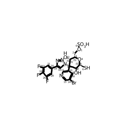 O=S(=O)(O)OC[C@@H]1O[C@@H](S)[C@@H](O)[C@](c2cncc(Br)c2)(n2cc(-c3cc(F)c(F)c(F)c3)nn2)[C@@H]1O